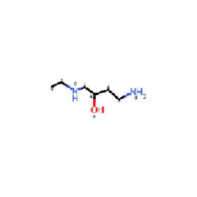 CCNCC(O)CCN